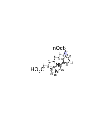 CCCCCCCC/C=C\CCCCCCCC(=O)O.c1ccc([C@H]2CN3CCSC3=N2)cc1